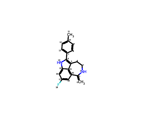 C=C1NCCc2c(-c3ccc(C)cc3)[nH]c3cc(F)cc1c23